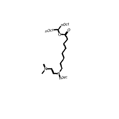 CCCCCCCCCCN(CCCCCCCC(=O)OC(CCCCCCCC)CCCCCCCC)CCN(C)C